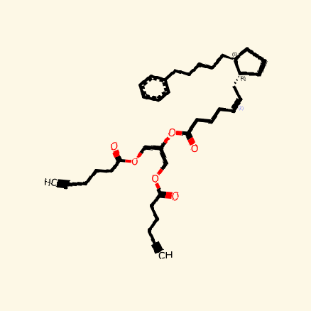 C#CCCCC(=O)OCC(COC(=O)CCCC#C)OC(=O)CCC/C=C\C[C@H]1CCC[C@@H]1CCCCCc1ccccc1